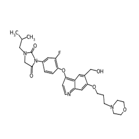 CC(C)CN1CC(=O)N(c2ccc(Oc3ccnc4cc(OCCCN5CCOCC5)c(CO)cc34)c(F)c2)C1=O